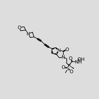 C[C@@](CCN1Cc2cc(C#CC#CC3CN(C4COC4)C3)cn2C1=O)(C(=O)NO)S(C)(=O)=O